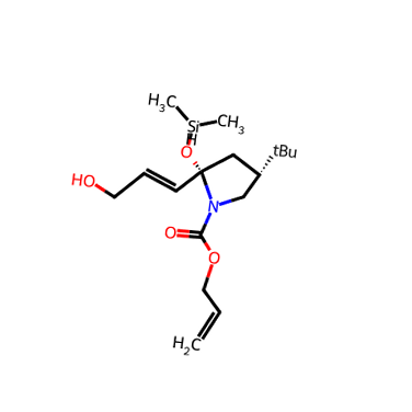 C=CCOC(=O)N1C[C@@H](C(C)(C)C)C[C@@]1(C=CCO)O[SiH](C)C